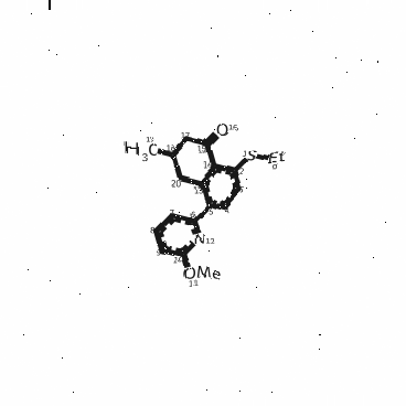 CCSc1ccc(-c2cccc(OC)n2)c2c1C(=O)CC(C)C2